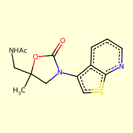 CC(=O)NCC1(C)CN(c2csc3ncccc23)C(=O)O1